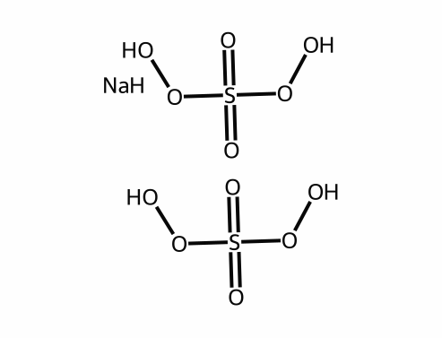 O=S(=O)(OO)OO.O=S(=O)(OO)OO.[NaH]